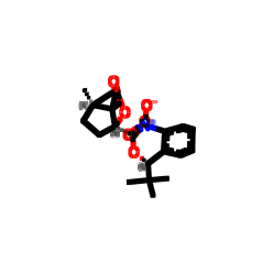 CC(C)(C)[C@H](OC(=O)[C@@]12CC[C@@](C)(C(=O)O1)C2(C)C)c1ccccc1[N+](=O)[O-]